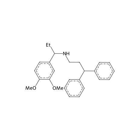 CCC(NCCC(c1ccccc1)c1ccccc1)c1ccc(OC)c(OC)c1